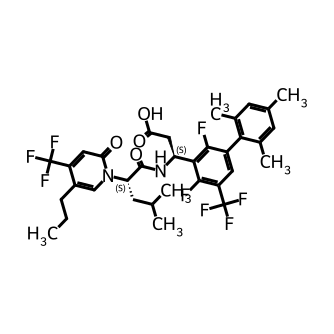 CCCc1cn([C@@H](CC(C)C)C(=O)N[C@@H](CC(=O)O)c2c(F)c(-c3c(C)cc(C)cc3C)cc(C(F)(F)F)c2F)c(=O)cc1C(F)(F)F